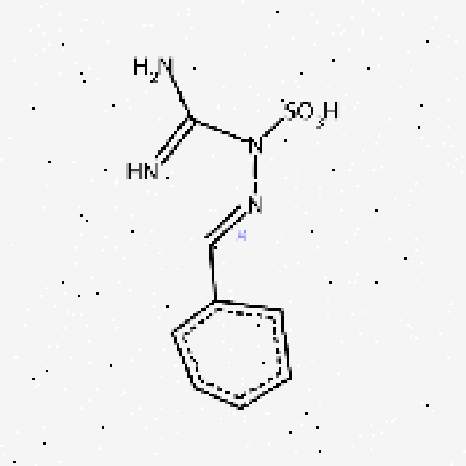 N=C(N)N(/N=C/c1ccccc1)S(=O)(=O)O